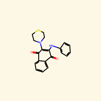 O=C1C(Nc2ccccc2)=C(N2CCSCC2)C(=O)c2ccccc21